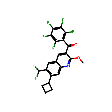 COc1nc2cc(C3CCC3)c(C(F)F)cc2cc1C(=O)c1c(F)c(F)c(F)c(F)c1F